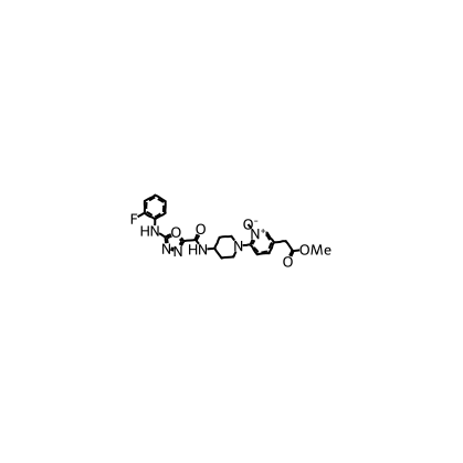 COC(=O)Cc1ccc(N2CCC(NC(=O)c3nnc(Nc4ccccc4F)o3)CC2)[n+]([O-])c1